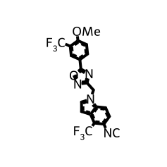 [C-]#[N+]c1ccc2c(ccn2Cc2noc(-c3ccc(OC)c(C(F)(F)F)c3)n2)c1C(F)(F)F